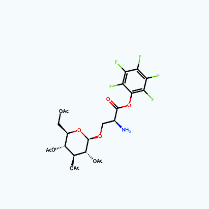 CC(=O)OC[C@H]1O[C@@H](OC[C@H](N)C(=O)Oc2c(F)c(F)c(F)c(F)c2F)[C@H](OC(C)=O)[C@@H](OC(C)=O)[C@@H]1OC(C)=O